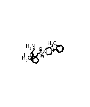 Cc1ccccc1N1CCN(S(=O)(=O)CC23CCC(CC2=CCN)C3(C)C)CC1